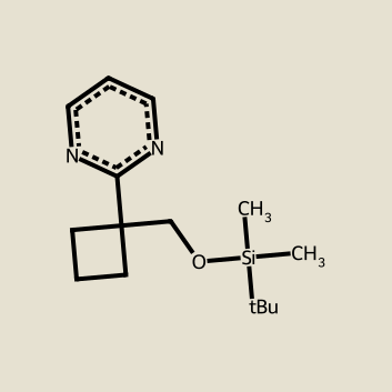 CC(C)(C)[Si](C)(C)OCC1(c2ncccn2)CCC1